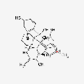 C=C(S)C(C)[C@H](C)[C@@H](C)C(C)(c1ccc(C)cc1S)C1(C(C)(c2ccc(S)cc2S)c2ccc(S)cc2S)CCCCC1